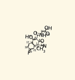 CC1(C#N)C(=O)C(C(=O)NCC(=O)O)=C(O)c2ccc(F)cc21